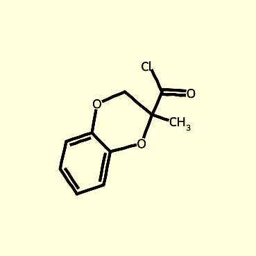 CC1(C(=O)Cl)COc2ccccc2O1